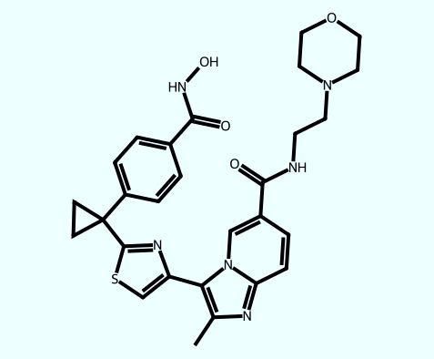 Cc1nc2ccc(C(=O)NCCN3CCOCC3)cn2c1-c1csc(C2(c3ccc(C(=O)NO)cc3)CC2)n1